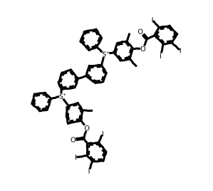 Cc1cc([S+](c2ccccc2)c2cccc(-c3cccc([S+](c4ccccc4)c4cc(C)c(OC(=O)c5c(I)ccc(I)c5I)c(C)c4)c3)c2)ccc1OC(=O)c1c(I)ccc(I)c1I